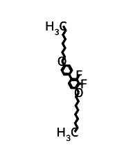 CCCCCCCCCOc1ccc(-c2ccc(OCCCCCCCC)cc2)c(F)c1F